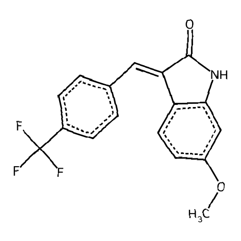 COc1ccc2c(c1)NC(=O)/C2=C/c1ccc(C(F)(F)F)cc1